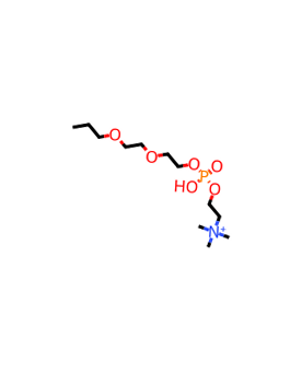 CCCOCCOCCOP(=O)(O)OCC[N+](C)(C)C